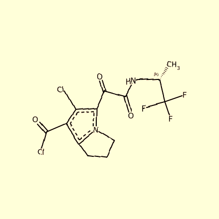 C[C@@H](NC(=O)C(=O)c1c(Cl)c(C(=O)Cl)c2n1CCC2)C(F)(F)F